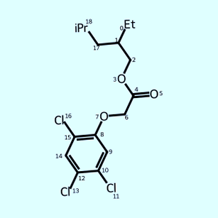 CCC(COC(=O)COc1cc(Cl)c(Cl)cc1Cl)CC(C)C